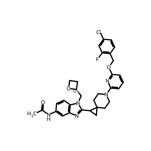 CC(=O)Nc1ccc2c(c1)nc(C1CC13CCN(c1cccc(OCc4ccc(Cl)cc4F)n1)CC3)n2C[C@@H]1CCO1